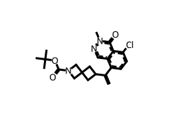 C=C(c1ccc(Cl)c2c(=O)n(C)ncc12)C1CC2(C1)CN(C(=O)OC(C)(C)C)C2